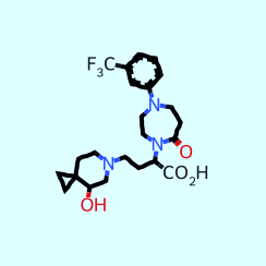 O=C(O)C(CCN1CCC2(CC2)C(O)C1)N1CCN(c2cccc(C(F)(F)F)c2)CCC1=O